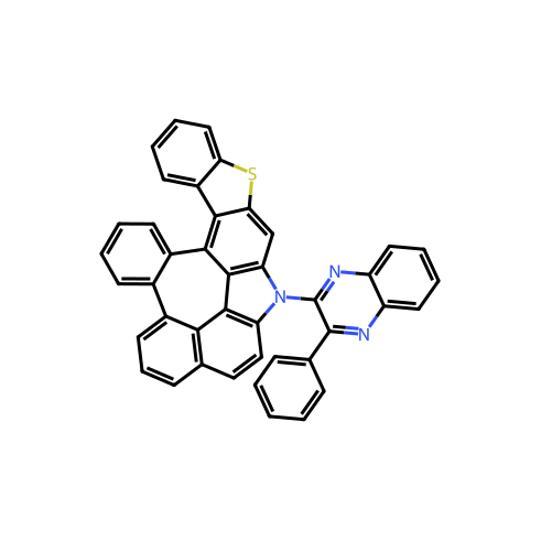 c1ccc(-c2nc3ccccc3nc2-n2c3cc4sc5ccccc5c4c4c3c3c5c(cccc5ccc32)-c2ccccc2-4)cc1